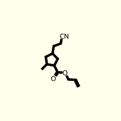 C=CCOC(=O)C1CC(CCC#N)CC1C